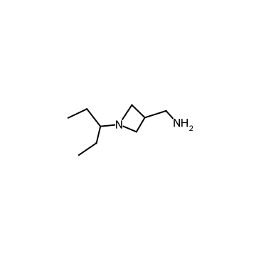 CCC(CC)N1CC(CN)C1